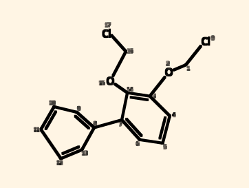 ClCOc1cccc(-c2ccccc2)c1OCCl